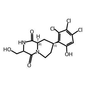 O=C1NC(CO)C(=O)N2CC[C@H](c3c(O)cc(Cl)c(Cl)c3Cl)C[C@H]12